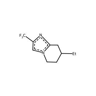 CCC1CCn2cc(C(F)(F)F)nc2C1